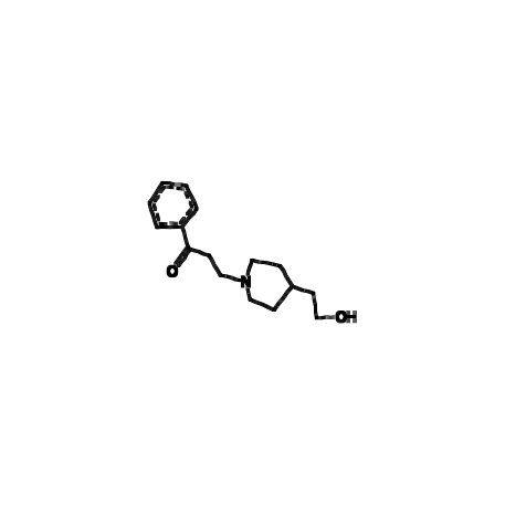 O=C(CCN1CCC(CCO)CC1)c1ccccc1